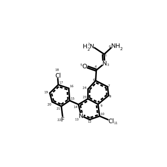 NC(N)=NC(=O)c1ccc2c(Cl)cnc(-c3cc(Cl)ccc3F)c2c1